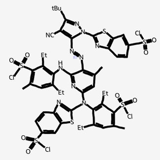 CCc1cc(C)c(S(=O)(=O)Cl)c(CC)c1Nc1nc(N(c2nc3ccc(S(=O)(=O)Cl)cc3s2)c2c(CC)cc(C)c(S(=O)(=O)Cl)c2CC)cc(C)c1/N=N/c1c(C#N)c(C(C)(C)C)nn1-c1nc2ccc(S(=O)(=O)Cl)cc2s1